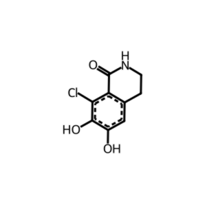 O=C1NCCc2cc(O)c(O)c(Cl)c21